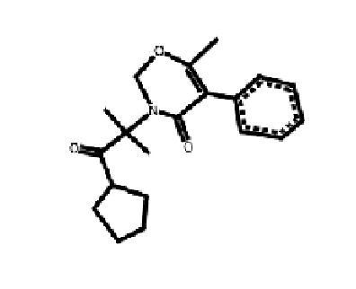 CC1=C(c2ccccc2)C(=O)N(C(C)(C)C(=O)C2CCCC2)CO1